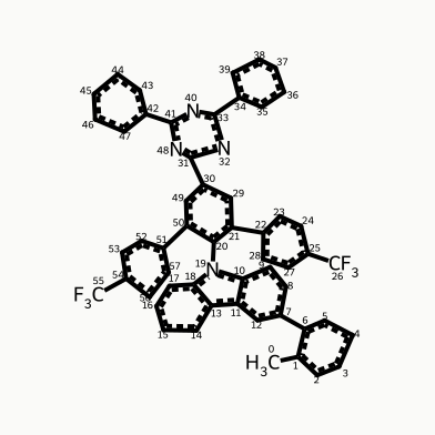 Cc1ccccc1-c1ccc2c(c1)c1ccccc1n2-c1c(-c2ccc(C(F)(F)F)cc2)cc(-c2nc(-c3ccccc3)nc(-c3ccccc3)n2)cc1-c1ccc(C(F)(F)F)cc1